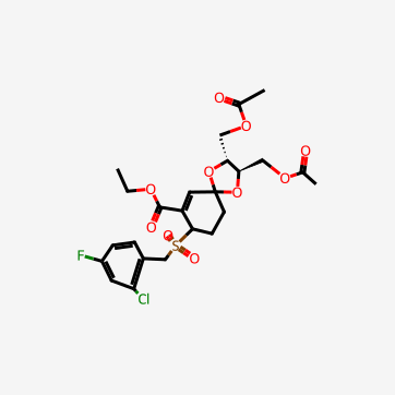 CCOC(=O)C1=CC2(CCC1S(=O)(=O)Cc1ccc(F)cc1Cl)O[C@H](COC(C)=O)[C@@H](COC(C)=O)O2